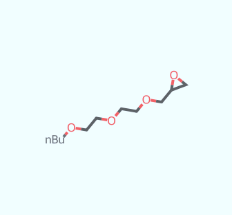 CCCCOCCOCCOCC1CO1